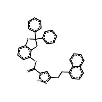 O=C(Oc1cccc2c1OC(c1ccccc1)(c1ccccc1)O2)c1cc(CCc2cccc3ccccc23)n[nH]1